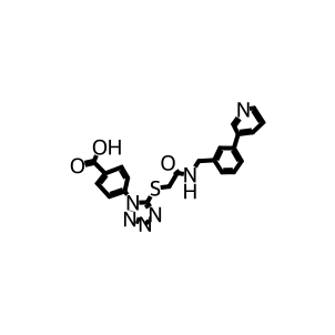 O=C(CSc1nnnn1-c1ccc(C(=O)O)cc1)NCc1cccc(-c2cccnc2)c1